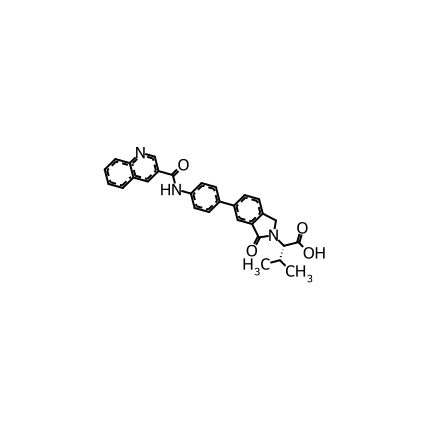 CC(C)[C@@H](C(=O)O)N1Cc2ccc(-c3ccc(NC(=O)c4cnc5ccccc5c4)cc3)cc2C1=O